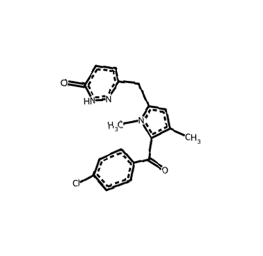 Cc1cc(Cc2ccc(=O)[nH]n2)n(C)c1C(=O)c1ccc(Cl)cc1